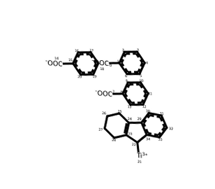 O=C([O-])c1ccccc1.O=C([O-])c1ccccc1.O=C([O-])c1ccccc1.[Ti+3][CH]1C2=C(CCCC2)c2ccccc21